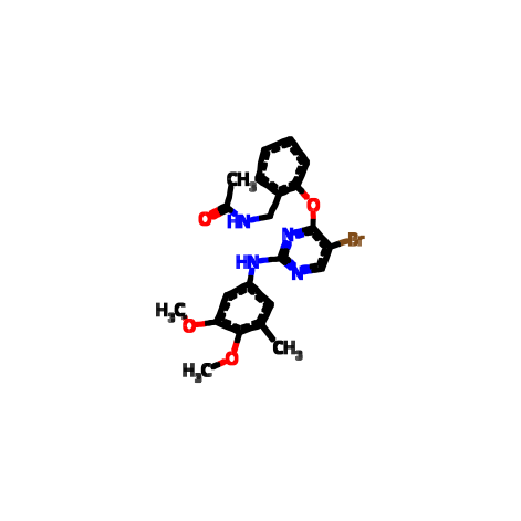 COc1cc(Nc2ncc(Br)c(Oc3ccccc3CNC(C)=O)n2)cc(C)c1OC